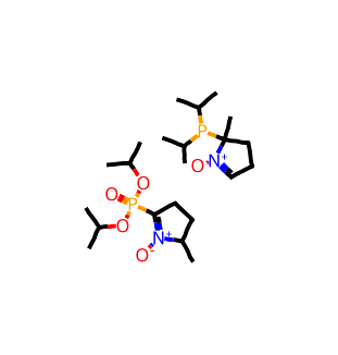 CC(C)OP(=O)(OC(C)C)C1=[N+]([O-])C(C)CC1.CC(C)P(C(C)C)C1(C)CCC=[N+]1[O-]